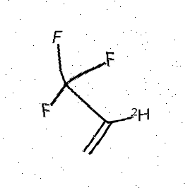 [2H]C(=C)C(F)(F)F